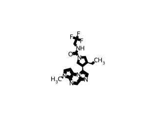 CC[C@@H]1CN(C(=O)NCC(F)(F)F)C[C@@H]1c1cnc2cnc3c(ccn3C)n12